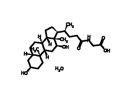 C[C@H](CCC(=O)NCC(=O)O)[C@H]1CC[C@H]2[C@@H]3CC[C@@H]4C[C@H](O)CC[C@]4(C)[C@H]3C[C@H](O)[C@]12C.O